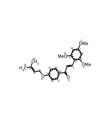 COc1cc(OC)c(C=CC(=O)c2ccc(OCC=C(C)C)cc2)c(OC)c1